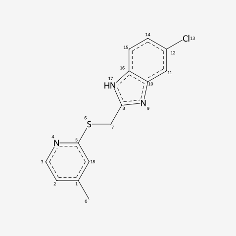 Cc1ccnc(SCc2nc3cc(Cl)ccc3[nH]2)c1